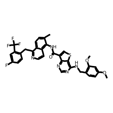 COc1ccc(CNc2ncnc3c(C(=O)Nc4c(C)ccc5c(Cc6ccc(F)cc6C(F)(F)F)nccc45)csc23)c(OC)c1